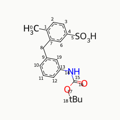 Cc1ccc(S(=O)(=O)O)cc1Cc1cccc(NC(=O)OC(C)(C)C)c1